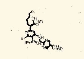 CC/C=C/C=C\C(=C(/C)OCC)c1cc(NCc2ncc(OC)cn2)c(N(C)C(C)C)c(CC)n1